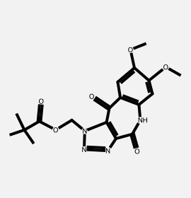 COc1cc2[nH]c(=O)c3nnn(COC(=O)C(C)(C)C)c3c(=O)c2cc1OC